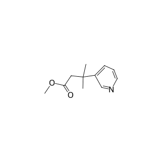 COC(=O)CC(C)(C)c1cccnc1